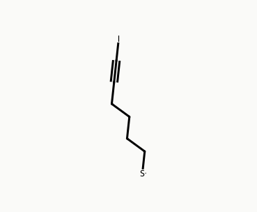 [S]CCCCC#CI